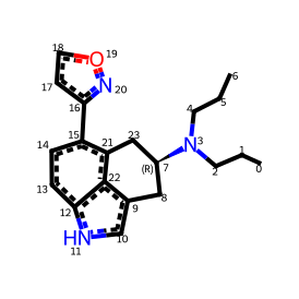 CCCN(CCC)[C@H]1Cc2c[nH]c3ccc(-c4ccon4)c(c23)C1